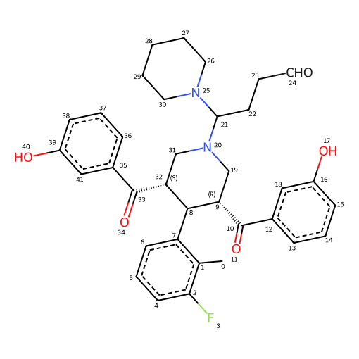 Cc1c(F)cccc1C1[C@@H](C(=O)c2cccc(O)c2)CN(C(CCC=O)N2CCCCC2)C[C@H]1C(=O)c1cccc(O)c1